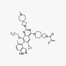 C=C(F)C(=O)N1CC2(CCN(c3nc(N4CC5(CCN(C)CC5)C4)nc4c(OCC(F)(F)F)c(-c5c(C)ccc6[nH]ncc56)c(C5CC5)cc34)CC2)C1